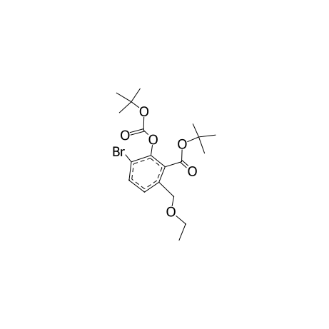 CCOCc1ccc(Br)c(OC(=O)OC(C)(C)C)c1C(=O)OC(C)(C)C